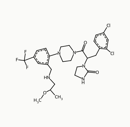 COC(C)CNCc1cc(C(F)(F)F)ccc1N1CCN(C(=O)C(Cc2ccc(Cl)cc2Cl)N2CCNC2=O)CC1